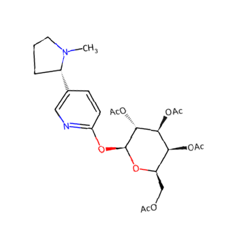 CC(=O)OC[C@H]1O[C@@H](Oc2ccc([C@@H]3CCCN3C)cn2)[C@H](OC(C)=O)[C@@H](OC(C)=O)[C@H]1OC(C)=O